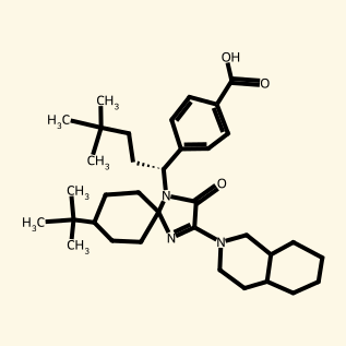 CC(C)(C)CC[C@H](c1ccc(C(=O)O)cc1)N1C(=O)C(N2CCC3CCCCC3C2)=NC12CCC(C(C)(C)C)CC2